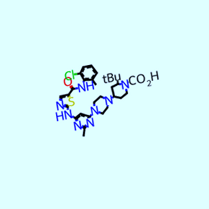 Cc1nc(Nc2ncc(C(=O)Nc3c(C)cccc3Cl)s2)cc(N2CCN(C3CCN(C(=O)O)C(C(C)(C)C)C3)CC2)n1